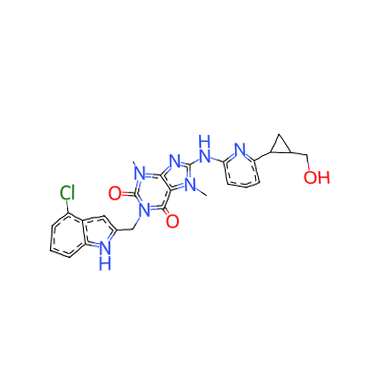 Cn1c(Nc2cccc(C3CC3CO)n2)nc2c1c(=O)n(Cc1cc3c(Cl)cccc3[nH]1)c(=O)n2C